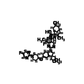 CCC1(CC)CN(c2ncc(C(=O)NC3(C(=O)O)C(C)CC4CC(C)CC3C4)c(C(C)(F)F)n2)c2ccc(OC3CCN(c4ncc(F)cn4)CC3)cc21